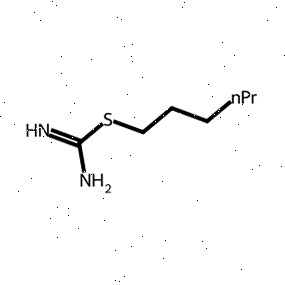 CCCCCCSC(=N)N